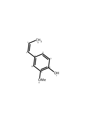 C/C=C\c1c[c]c(O)c(OC)c1